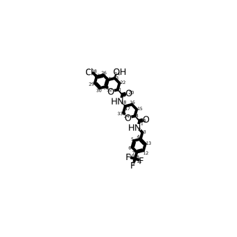 O=C(NCc1ccc(C(F)(F)F)cc1)[C@@H]1CC[C@@H](NC(=O)[C@@H]2C[C@H](O)c3cc(Cl)ccc3O2)CO1